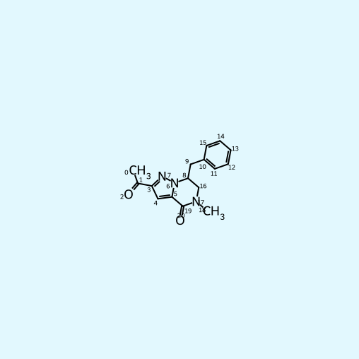 CC(=O)c1cc2n(n1)C(Cc1ccccc1)CN(C)C2=O